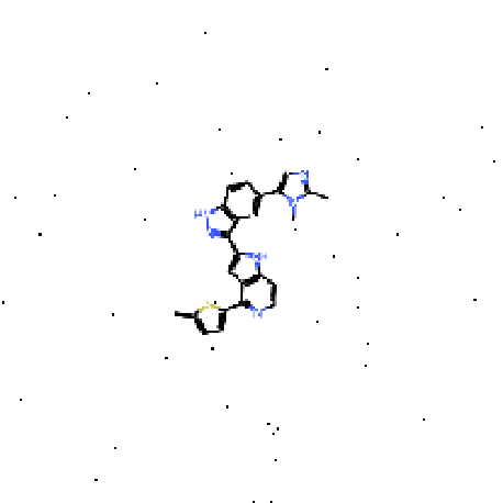 Cc1ccc(-c2nccc3[nH]c(-c4n[nH]c5ccc(-c6cnc(C)n6C)cc45)cc23)s1